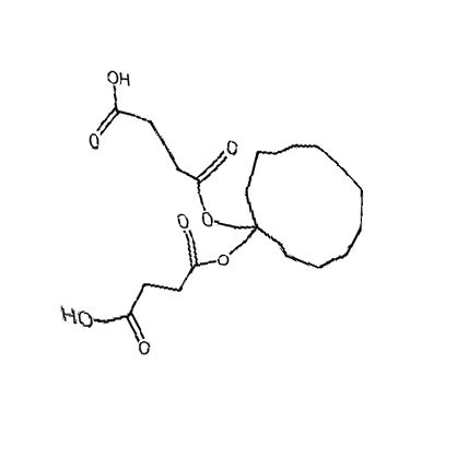 O=C(O)CCC(=O)OC1(OC(=O)CCC(=O)O)CCCCCCCCC1